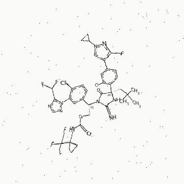 CC(C)(C)C[C@]1(c2ccc(-c3cn(C4CC4)nc3F)cc2Cl)NC(=N)N([C@H](COC(=O)NC2(C(F)(F)F)CC2)c2ccc(Cl)c(-n3ncnc3C(F)F)c2)C1=O